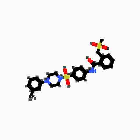 CS(=O)(=O)Cc1ccccc1C(=O)Nc1ccc(S(=O)(=O)N2CCN(c3cccc(C(F)(F)F)c3)CC2)cc1